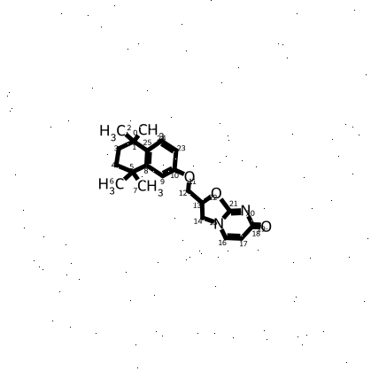 CC1(C)CCC(C)(C)c2cc(OCC3Cn4ccc(=O)nc4O3)ccc21